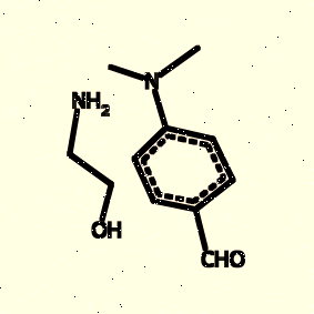 CN(C)c1ccc(C=O)cc1.NCCO